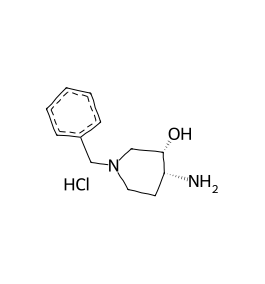 Cl.N[C@@H]1CCN(Cc2ccccc2)C[C@@H]1O